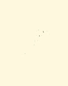 [CH2]C(CC)OCCOCCCCCC